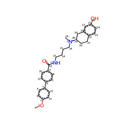 COc1ccc(-c2ccc(C(=O)NCCCCN(C)[C@@H]3CCc4ccc(O)cc4C3)cc2)cc1